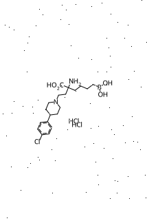 Cl.Cl.NC(CCCCB(O)O)(CCN1CCC(c2ccc(Cl)cc2)CC1)C(=O)O